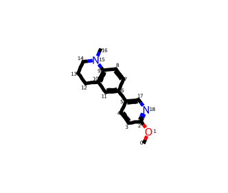 COc1ccc(-c2ccc3c(c2)CCCN3C)cn1